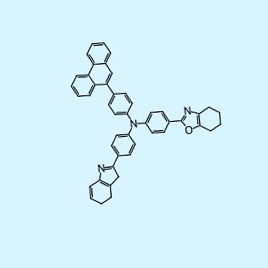 C1=CC2=C(CC1)CC(c1ccc(N(c3ccc(-c4nc5c(o4)CCCC5)cc3)c3ccc(-c4cc5ccccc5c5ccccc45)cc3)cc1)=N2